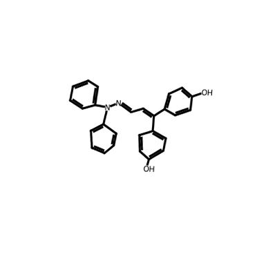 Oc1ccc(C(=CC=NN(c2ccccc2)c2ccccc2)c2ccc(O)cc2)cc1